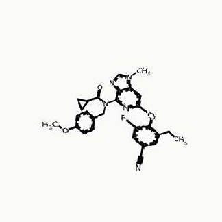 CCc1cc(C#N)cc(F)c1Oc1cc2c(ncn2C)c(N(Cc2ccc(OC)cc2)C(=O)C2CC2)n1